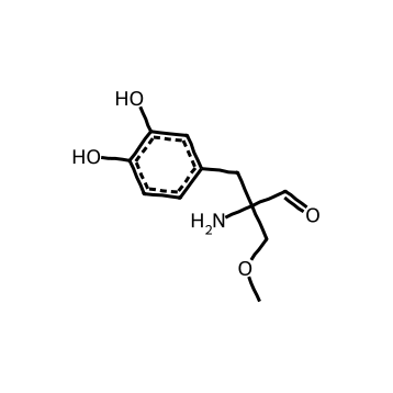 COCC(N)(C=O)Cc1ccc(O)c(O)c1